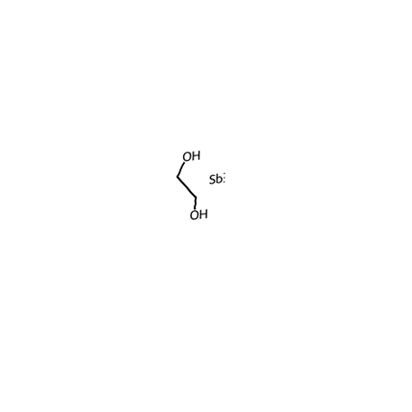 OCCO.[Sb]